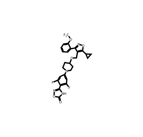 O=c1[nH]c(-c2c(F)cc(N3CCC(OCc4c(-c5ccccc5OC(F)(F)F)noc4C4CC4)CC3)cc2F)no1